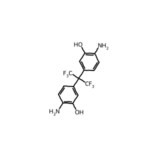 Nc1ccc(C(c2ccc(N)c(O)c2)(C(F)(F)F)C(F)(F)F)cc1O